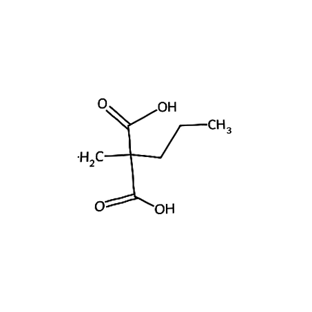 [CH2]C(CCC)(C(=O)O)C(=O)O